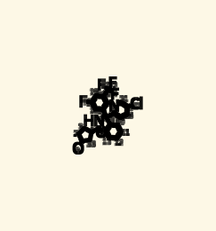 O=C1CCC(C(=O)N[C@](c2ccccc2)(c2cc(F)cc(C(F)(F)F)c2)c2ccc(Cl)cn2)C1